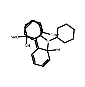 COC1=CC=CC(N)(OC)C1=C1C=CC=C[C]1([Pd+])P(C1CCCCC1)C1CCCCC1